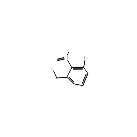 O=[N+]([O-])c1c(Br)cccc1CBr